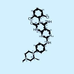 C[C@H]1CN(C)CCN1c1ccc(Nc2ncc3c(=N)n(-c4c(Cl)cccc4Cl)c(=O)[nH]c3n2)cc1